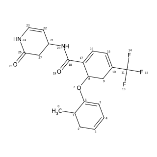 CC1CC=CC=C1OC1CC(C(F)(F)F)=CC=C1C(=O)NC1C=CNC(=O)C1